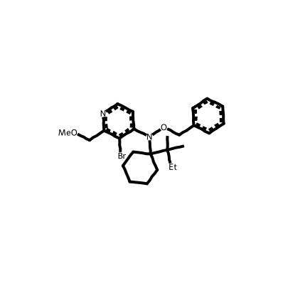 CCC(C)(C)C1(N(OCc2ccccc2)c2ccnc(COC)c2Br)CCCCC1